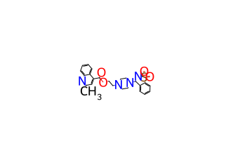 Cc1cc(C(=O)OCCN2CCN(C3=NS(=O)(=O)c4ccccc43)CC2)c2ccccc2n1